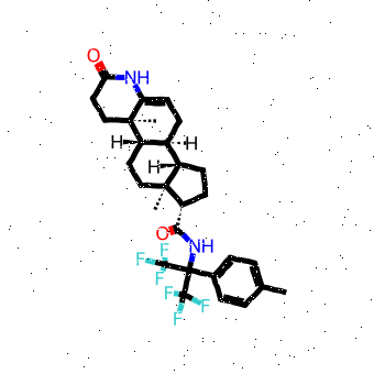 Cc1ccc(C(NC(=O)[C@H]2CC[C@H]3[C@@H]4CC=C5NC(=O)CC[C@]5(C)[C@H]4CC[C@]23C)(C(F)(F)F)C(F)(F)F)cc1